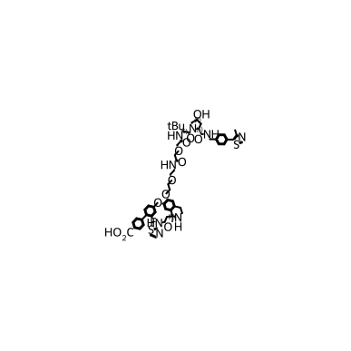 Cc1ncsc1-c1ccc(CNC(=O)[C@@H]2C[C@@H](O)CN2C(=O)[C@@H](NC(=O)COCC(=O)NCCOCCOc2cc3c(cc2Oc2ccc(-c4ccc(C(=O)O)cc4)c(F)c2)[C@@](C)(CC(=O)Nc2nccs2)NCC3)C(C)(C)C)cc1